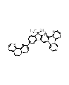 CC1(C)c2ccc(-c3ccc4ccc5cccnc5c4n3)cc2-c2cc3c4ccccc4c4cccnc4c3nc21